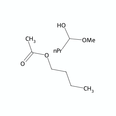 CCCC(O)OC.CCCCOC(C)=O